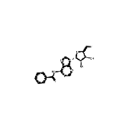 O=C(Nc1ncnc2c1ncn2[C@@H]1O/C(=C/F)[C@@H](O)[C@H]1O)c1ccccc1